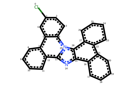 Clc1ccc2c(c1)c1ccccc1c1nc3c4ccccc4c4ccccc4c3n21